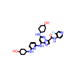 O=C(Nc1ccncc1F)c1cnc2c(Nc3cccc(NC4CCC(O)CC4)n3)cc(NC3CCC(O)CC3)nn12